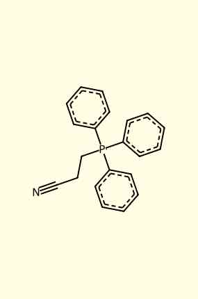 N#CCC[P](c1ccccc1)(c1ccccc1)c1ccccc1